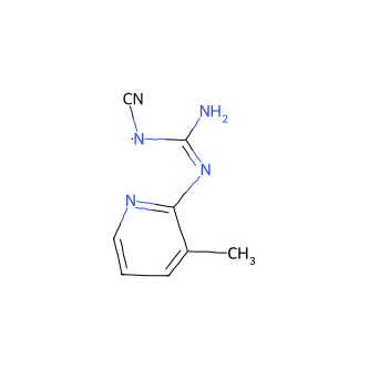 Cc1cccnc1N=C(N)[N]C#N